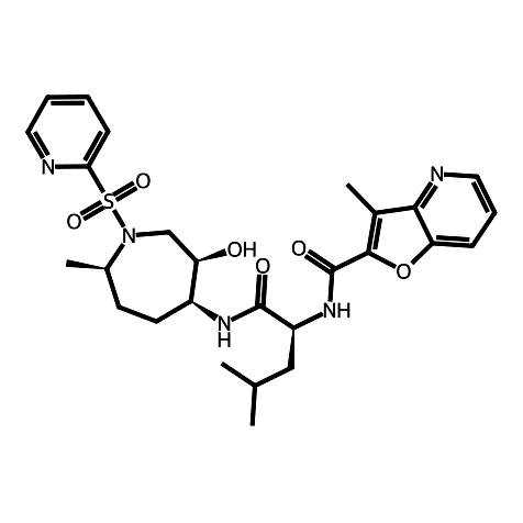 Cc1c(C(=O)N[C@@H](CC(C)C)C(=O)N[C@H]2CC[C@@H](C)N(S(=O)(=O)c3ccccn3)C[C@H]2O)oc2cccnc12